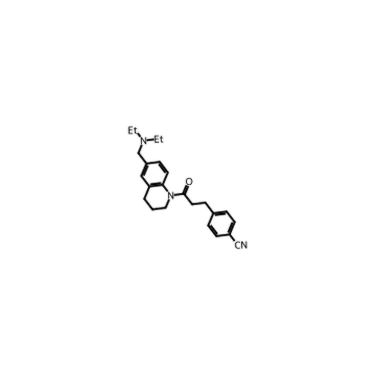 CCN(CC)Cc1ccc2c(c1)CCCN2C(=O)CCc1ccc(C#N)cc1